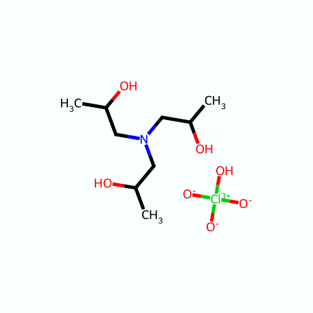 CC(O)CN(CC(C)O)CC(C)O.[O-][Cl+3]([O-])([O-])O